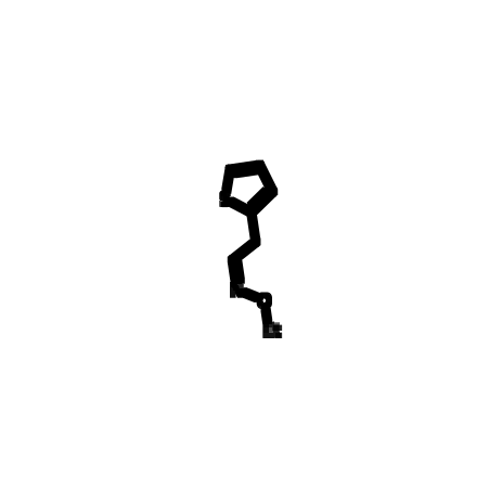 CCO/N=C\Cc1cccs1